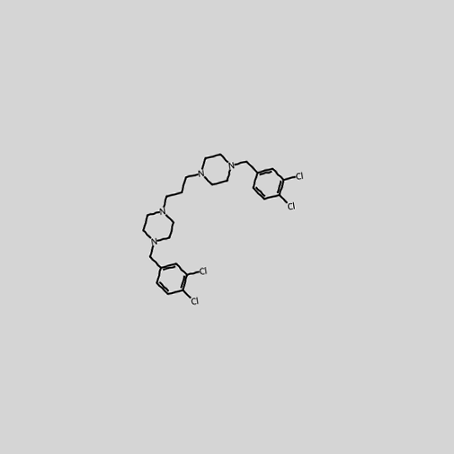 Clc1ccc(CN2CCN(CCCN3CCN(Cc4ccc(Cl)c(Cl)c4)CC3)CC2)cc1Cl